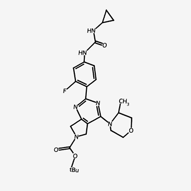 CC1COCCN1c1nc(-c2ccc(NC(=O)NC3CC3)cc2F)nc2c1CN(C(=O)OC(C)(C)C)C2